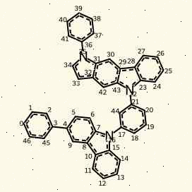 c1ccc(-c2ccc3c(c2)c2ccccc2n3-c2cccc(-n3c4ccccc4c4cc5c(ccn5-c5ccccc5)cc43)c2)cc1